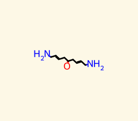 NC/C=C/CC(=O)C/C=C/CN